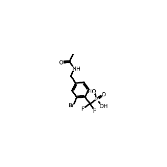 CC(=O)NCc1ccc(C(F)(F)P(=O)(O)O)c(Br)c1